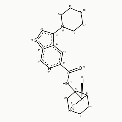 O=C(N[C@H]1CN2CCC1CC2)c1cc2c(N3CCSCC3)csc2cn1